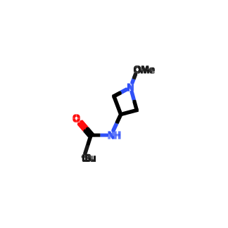 CON1CC(NC(=O)C(C)(C)C)C1